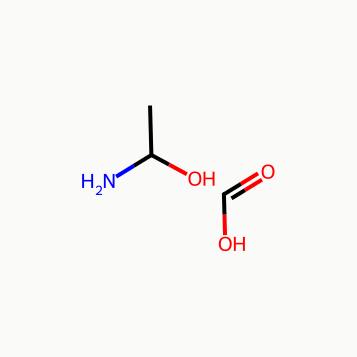 CC(N)O.O=CO